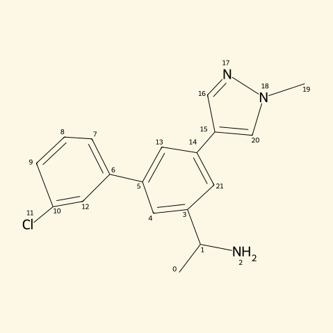 CC(N)c1cc(-c2cccc(Cl)c2)cc(-c2cnn(C)c2)c1